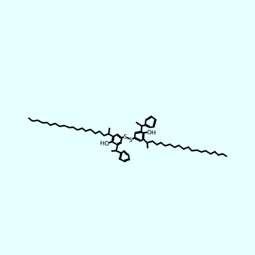 CCCCCCCCCCCCCCCCCCC(C)c1cc(SSc2cc(C(C)CCCCCCCCCCCCCCCCCC)c(O)c(C(C)c3ccccc3)c2)cc(C(C)c2ccccc2)c1O